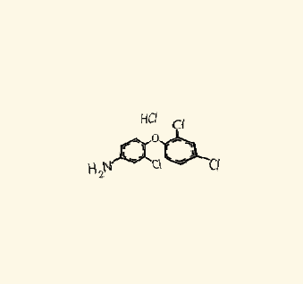 Cl.Nc1ccc(Oc2ccc(Cl)cc2Cl)c(Cl)c1